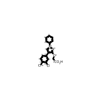 O=C(O)COc1nn(-c2ccccc2)cc1-c1ccc(Cl)c(Cl)c1